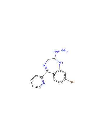 NNC1CN=C(c2ccccn2)c2ccc(Br)cc2N1